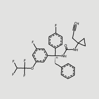 C#CCC1(NC(=O)N[C@](Cc2ccccc2)(c2ccc(F)cc2)c2cc(F)cc(OC(F)(F)C(F)F)c2)CC1